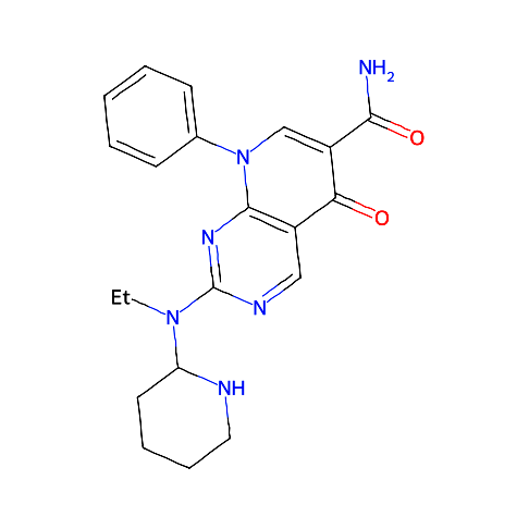 CCN(c1ncc2c(=O)c(C(N)=O)cn(-c3ccccc3)c2n1)C1CCCCN1